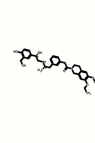 CCOc1cc2c(cc1OC)CCN(C(=O)Cc1cccc(C[C@@H](C)NC[C@H](O)c3ccc(O)c(CO)c3)c1)C2